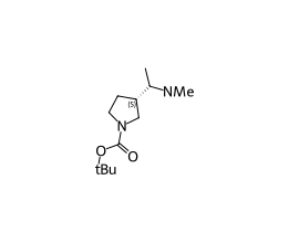 CNC(C)[C@H]1CCN(C(=O)OC(C)(C)C)C1